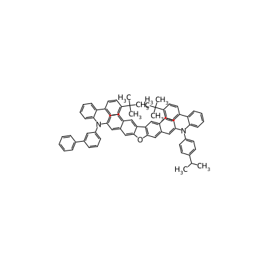 CC(C)c1ccc(N(c2ccc3cc4c(cc3c2)oc2cc3cc(N(c5cccc(-c6ccccc6)c5)c5ccccc5-c5ccc(C(C)(C)C)cc5)ccc3cc24)c2ccccc2-c2ccc(C(C)(C)C)cc2)cc1